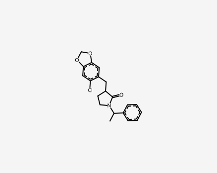 CC(c1ccccc1)N1CCC(Cc2cc3c(cc2Cl)OCO3)C1=O